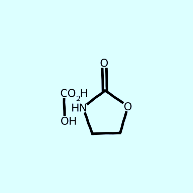 O=C(O)O.O=C1NCCO1